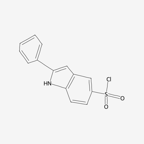 O=S(=O)(Cl)c1ccc2[nH]c(-c3ccccc3)cc2c1